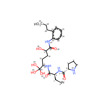 CC(C)C[C@H](NC(=O)[C@@H]1CCCN1)C(=O)NC(CCC(O)C(=O)Nc1ccccc1CCC(=O)O)C(O)(O)O